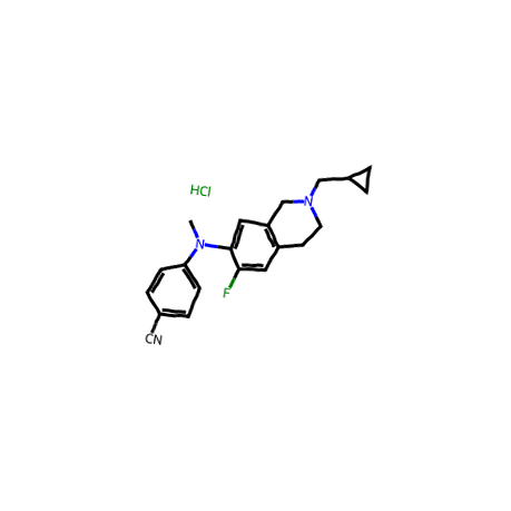 CN(c1ccc(C#N)cc1)c1cc2c(cc1F)CCN(CC1CC1)C2.Cl